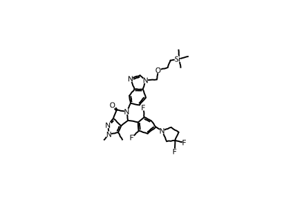 Cc1c2c(nn1C)C(=O)N(c1ccc3c(c1)ncn3COCC[Si](C)(C)C)C2c1c(F)cc(N2CCC(F)(F)C2)cc1F